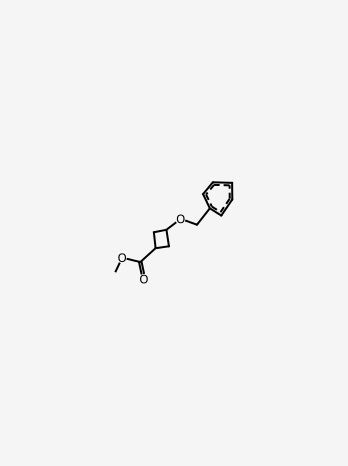 COC(=O)C1CC(OCc2ccccc2)C1